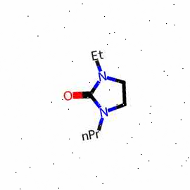 CCCN1CCN(CC)C1=O